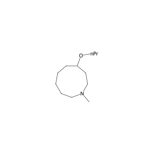 CCCOC1CCCCCN(C)CC1